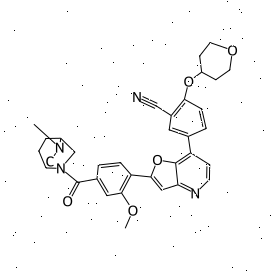 COc1cc(C(=O)N2CC3CCC2CN3C)ccc1-c1cc2nccc(-c3ccc(OC4CCOCC4)c(C#N)c3)c2o1